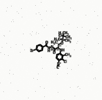 [C-]#[N+]c1ccc(N[C@@H](C(=O)NNC(=O)c2ccc(Br)cc2)[C@H](C)O[Si](C)(C)C(C)(C)C)c(C)c1Cl